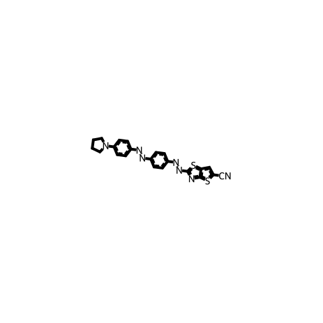 N#Cc1cc2sc(N=Nc3ccc(N=Nc4ccc(N5CCCC5)cc4)cc3)nc2s1